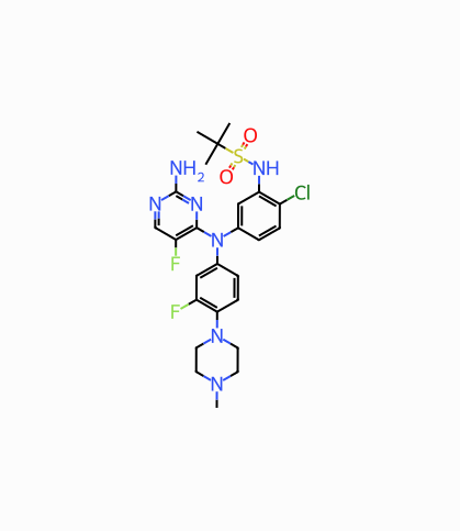 CN1CCN(c2ccc(N(c3ccc(Cl)c(NS(=O)(=O)C(C)(C)C)c3)c3nc(N)ncc3F)cc2F)CC1